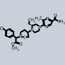 CC[C@H]1CN(c2ncc(C(N)=O)nc2C)CCN1C1CCN(C(C(=O)OC)c2ccc(Cl)cc2)CC1